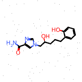 NC(=O)c1cn(C[C@@H](O)CCCc2ccccc2O)cn1